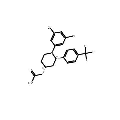 O=C(O)C[C@@H]1CCN(c2cc(Cl)cc(Cl)c2)[C@H](c2ccc(C(F)(F)F)cc2)C1